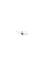 CCc1ccc(NC(=O)CSc2nnc(-c3ccc(C(C)C)cn3)n2CC)cc1